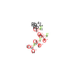 [O-]B([O-])F.[O-]B([O-])F.[O-]B([O-])F.[O-]B([O-])F.[Pb+4].[Pb+4]